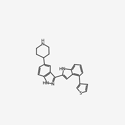 c1cc(-c2ccsc2)c2cc(-c3n[nH]c4ccc(C5CCNCC5)cc34)[nH]c2c1